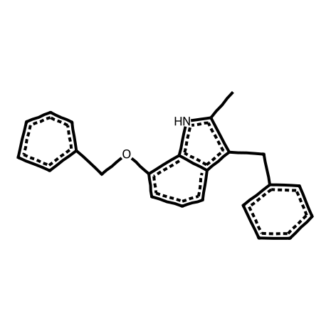 Cc1[nH]c2c(OCc3ccccc3)cccc2c1Cc1ccccc1